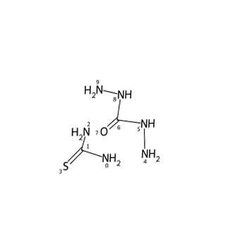 NC(N)=S.NNC(=O)NN